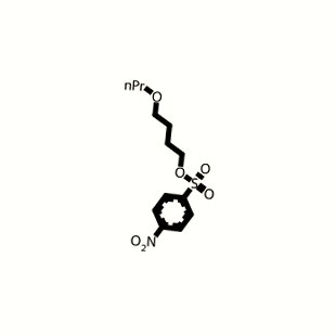 CCCOCCCCOS(=O)(=O)c1ccc([N+](=O)[O-])cc1